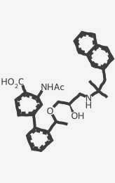 CC(=O)Nc1cc(-c2ccccc2C(C)OC[C@H](O)CNC(C)(C)Cc2ccc3ccccc3c2)ccc1C(=O)O